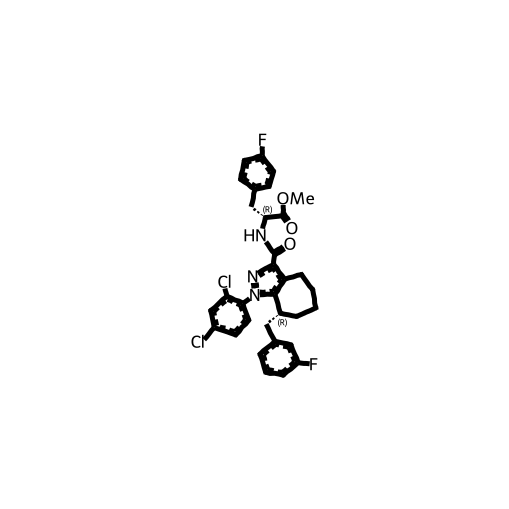 COC(=O)[C@@H](Cc1ccc(F)cc1)NC(=O)c1nn(-c2ccc(Cl)cc2Cl)c2c1CCCC[C@@H]2Cc1cccc(F)c1